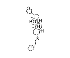 C[C@]12CC[C@H](SCCN3CCCC3)C[C@H]1CC[C@@H]1[C@@H]2CC[C@]2(C)[C@@H](c3ccoc3)CC[C@]12O